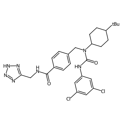 CC(C)(C)C1CCC(N(Cc2ccc(C(=O)NCc3nn[nH]n3)cc2)C(=O)Nc2cc(Cl)cc(Cl)c2)CC1